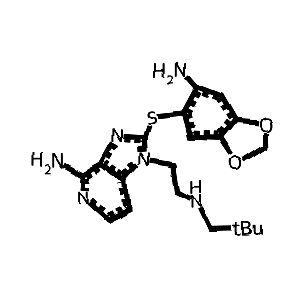 CC(C)(C)CNCCn1c(Sc2cc3c(cc2N)OCO3)nc2c(N)nccc21